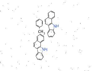 Cc1ccccc1.c1ccc2c(c1)ccc1c3ccccc3[nH]c21.c1ccc2c(c1)ccc1c3ccccc3[nH]c21